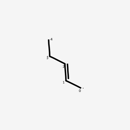 [CH2]/C=C/[CH]C